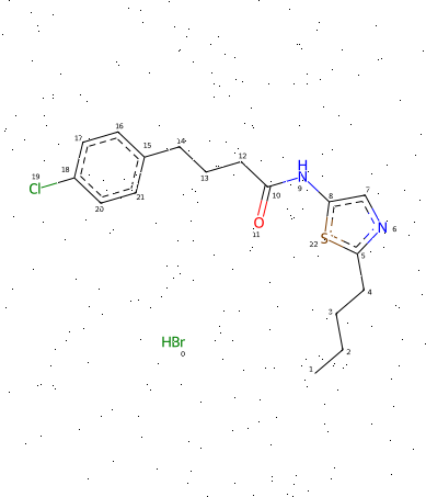 Br.CCCCc1ncc(NC(=O)CCCc2ccc(Cl)cc2)s1